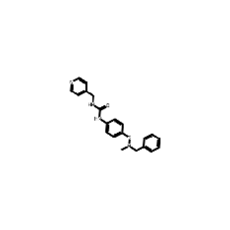 CN(Cc1ccccc1)Sc1ccc(NC(=O)NCc2ccncc2)cc1